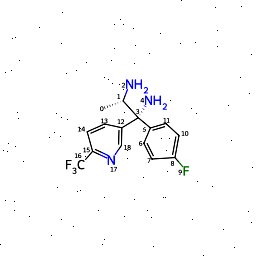 C[C@H](N)[C@@](N)(c1ccc(F)cc1)c1ccc(C(F)(F)F)nc1